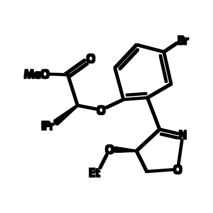 CCO[C@@H]1CON=C1c1cc(Br)ccc1O[C@H](C(=O)OC)C(C)C